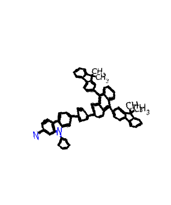 CC1(C)c2ccccc2-c2ccc(-c3c4ccccc4c(-c4ccc5c(c4)C(C)(C)c4ccccc4-5)c4cc(-c5ccc(-c6ccc7c8ccc(C#N)cc8n(-c8ccccc8)c7c6)cc5)ccc34)cc21